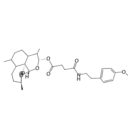 COc1ccc(CCNC(=O)CCC(=O)O[C@@H]2O[C@@H]3O[C@@]4(C)CCC5C(C)CCC(C2C)[C@]53OO4)cc1